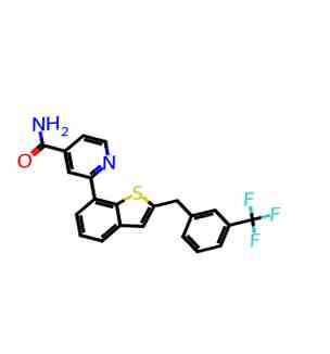 NC(=O)c1ccnc(-c2cccc3cc(Cc4cccc(C(F)(F)F)c4)sc23)c1